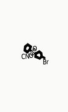 N#Cc1ccccc1S(=O)(=O)c1ccc(CBr)cc1